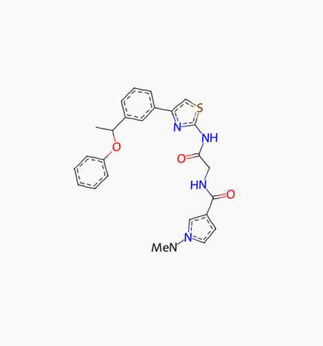 CNn1ccc(C(=O)NCC(=O)Nc2nc(-c3cccc(C(C)Oc4ccccc4)c3)cs2)c1